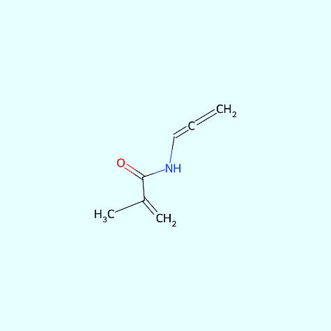 C=C=CNC(=O)C(=C)C